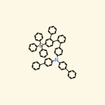 c1ccc(-c2ccc(N(c3ccc(-c4ccccc4)cc3)c3ccc(-c4ccccc4-c4ccc([Si](c5ccccc5)(c5ccccc5)c5ccccc5)cc4-c4ccccc4)cc3)cc2)cc1